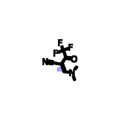 CN(C)/C=C(/C#N)C(=O)C(F)(F)F